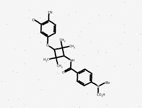 CC1(C)C(NC(=O)c2ccc(N(C(=O)O)C(C)(C)C)cc2)C(C)(C)C1Oc1ccc(C#N)c(Cl)c1